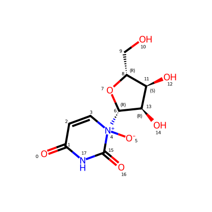 O=C1C=C[N+]([O-])([C@@H]2O[C@H](CO)[C@@H](O)[C@H]2O)C(=O)N1